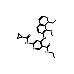 CCNC(=O)c1cnc(NC(=O)C2CC2)cc1Nc1ccc2c(c1OC)C(CC)CC=C2